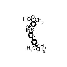 Cc1ccc(S(=O)(=O)Nc2ccc(-c3ccc(C(C)(C)C)cc3)nc2)cc1C(=O)O